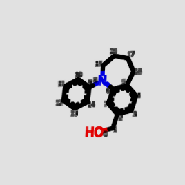 OCc1ccc2c(c1)N(c1ccccc1)CCCC2